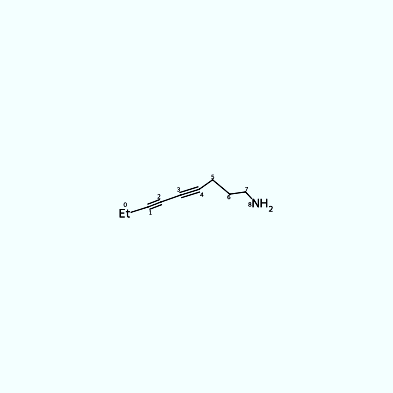 CCC#CC#CCCCN